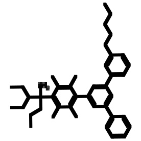 BC(CCC)(c1c(C)c(C)c(-c2cc(-c3ccccc3)cc(-c3cccc(CCCCC)c3)c2)c(C)c1C)C(CC)CC